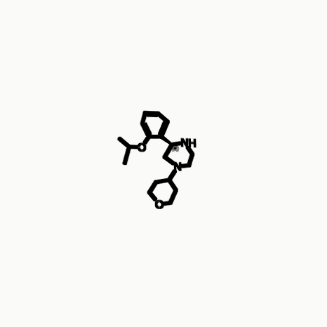 CC(C)Oc1ccccc1[C@@H]1CN(C2CCOCC2)CCN1